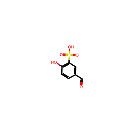 O=Cc1ccc(O)c(S(=O)(=O)O)c1